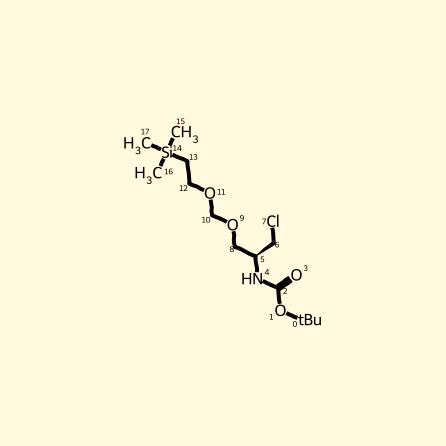 CC(C)(C)OC(=O)N[C@H](CCl)COCOCC[Si](C)(C)C